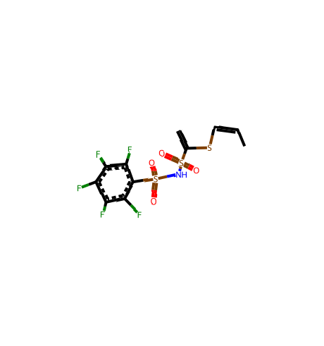 C=C(S/C=C\C)S(=O)(=O)NS(=O)(=O)c1c(F)c(F)c(F)c(F)c1F